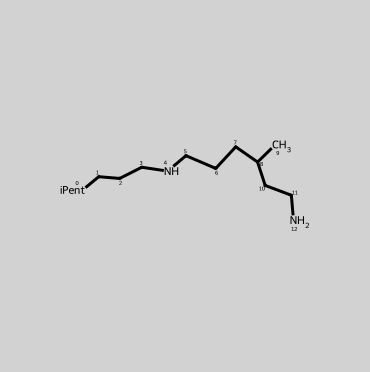 CCCC(C)CCCNCCCC(C)CCN